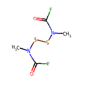 CN(SSN(C)C(=O)F)C(=O)F